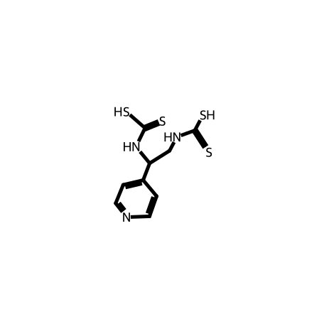 S=C(S)NCC(NC(=S)S)c1ccncc1